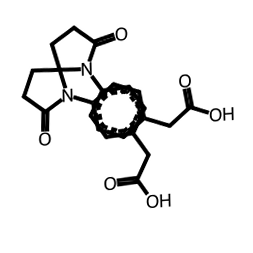 O=C(O)Cc1ccc(N2C(=O)CCC23CCC(=O)N3c2ccc(CC(=O)O)cc2)cc1